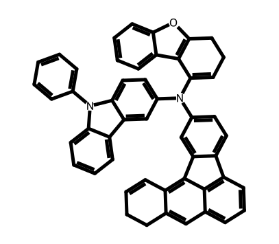 C1=Cc2c(cc3cccc4c3c2-c2cc(N(C3=CCCc5oc6ccccc6c53)c3ccc5c(c3)c3ccccc3n5-c3ccccc3)ccc2-4)CC1